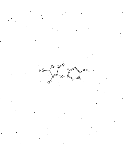 Cc1ccc(OC2=C(Cl)C(O)OC2=O)cc1